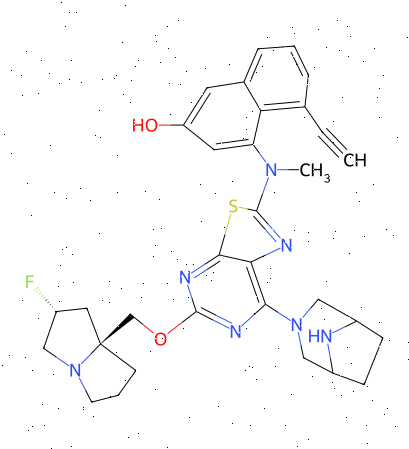 C#Cc1cccc2cc(O)cc(N(C)c3nc4c(N5CC6CCC(C5)N6)nc(OC[C@@]56CCCN5C[C@H](F)C6)nc4s3)c12